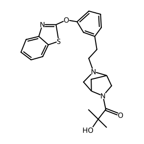 CC(C)(O)C(=O)N1CC2CC1CN2CCc1cccc(Oc2nc3ccccc3s2)c1